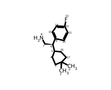 CC1(C)CCC([C@@H](CN)c2ccc(F)cc2)CC1